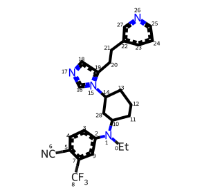 CCN(c1ccc(C#N)c(C(F)(F)F)c1)C1CCCC(n2cncc2CCc2cccnc2)C1